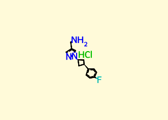 Cl.NCc1cnn([C@H]2C[C@H](c3ccc(F)cc3)C2)c1